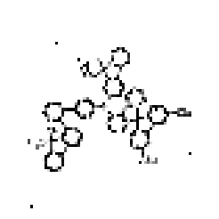 CC(C)(C)c1ccc2c(c1)-c1cc(C(C)(C)C)ccc1C21c2ccccc2-c2c(N(c3ccc(-c4ccccc4-c4cccc5c4C(C)(C)c4ccccc4-5)cc3)c3ccc4c(c3)C3(CC5CCC3C5)c3ccccc3-4)cccc21